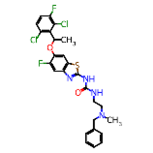 CC(Oc1cc2sc(NC(=O)NCCN(C)Cc3ccccc3)nc2cc1F)c1c(Cl)ccc(F)c1Cl